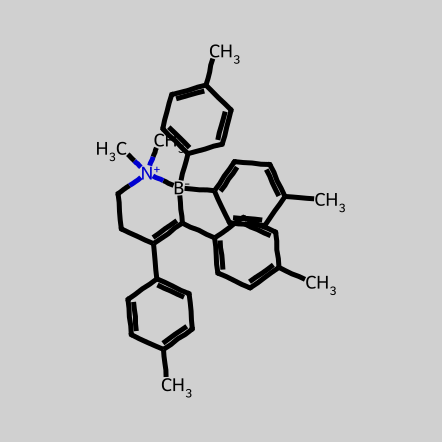 Cc1ccc(C2=C(c3ccc(C)cc3)[B-](c3ccc(C)cc3)(c3ccc(C)cc3)[N+](C)(C)CC2)cc1